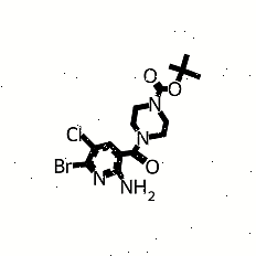 CC(C)(C)OC(=O)N1CCN(C(=O)c2cc(Cl)c(Br)nc2N)CC1